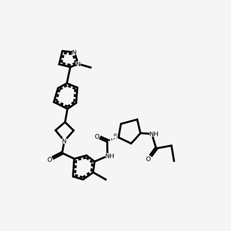 CCC(=O)NC1CC[C@@H](C(=O)Nc2cc(C(=O)N3CC(c4ccc(-c5ccnn5C)cc4)C3)ccc2C)C1